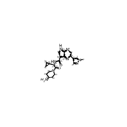 Cn1cc(-c2cnc3[nH]cc(C(=O)N[C@@H](C(=O)N4CCC(N)CC4)C4CC4)c3n2)cn1